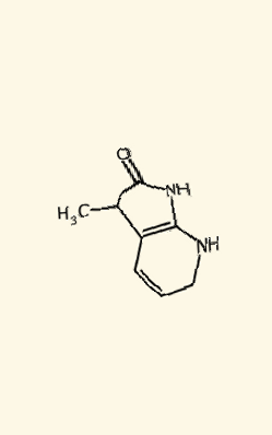 CC1C(=O)NC2=C1C=CCN2